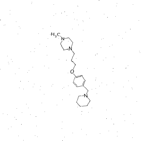 CN1CCN(CCCOc2ccc(CN3CCCCC3)cc2)CC1